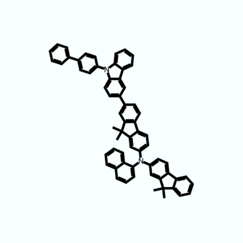 CC1(C)c2ccccc2-c2ccc(N(c3ccc4c(c3)C(C)(C)c3cc(-c5ccc6c(c5)c5ccccc5n6-c5ccc(-c6ccccc6)cc5)ccc3-4)c3cccc4ccccc34)cc21